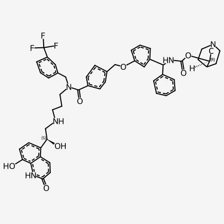 O=C(NC(c1ccccc1)c1cccc(OCc2ccc(C(=O)N(CCCNC[C@@H](O)c3ccc(O)c4[nH]c(=O)ccc34)Cc3cccc(C(F)(F)F)c3)cc2)c1)O[C@H]1CN2CCC1CC2